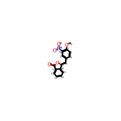 COc1ccc(C=C2OC(=O)c3ccccc32)cc1[N+](=O)[O-]